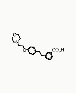 O=C(O)c1cccc(CCc2ccc(OCCN3CCOCC3)cc2)c1